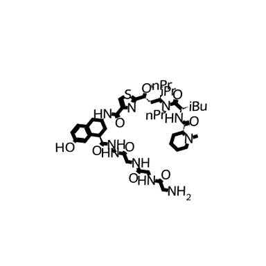 CCCO[C@H](C[C@H](C(C)C)N(CCC)C(=O)[C@@H](NC(=O)[C@H]1CCCCN1C)[C@@H](C)CC)c1nc(C(=O)N[C@H]2Cc3ccc(O)cc3[C@H](C(=O)NNC(=O)CNC(=O)CNC(=O)CN)C2)cs1